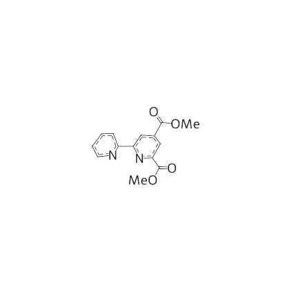 COC(=O)c1cc(C(=O)OC)nc(-c2ccccn2)c1